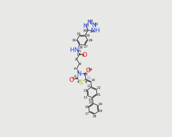 O=C(CCCN1C(=O)S/C(=C\c2ccc(-c3ccccc3)cc2)C1=O)Nc1ccc(-c2nnn[nH]2)cc1